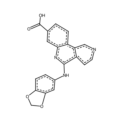 O=C(O)c1ccc2c(c1)nc(Nc1ccc3c(c1)OCO3)c1ccncc12